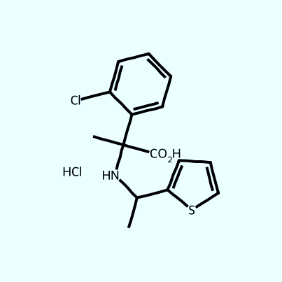 CC(NC(C)(C(=O)O)c1ccccc1Cl)c1cccs1.Cl